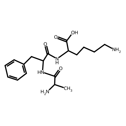 CC(N)C(=O)NC(Cc1ccccc1)C(=O)NC(CCCCN)C(=O)O